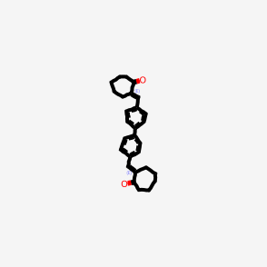 O=C1CCCCC/C1=C\c1ccc(-c2ccc(/C=C3\CCCCCC3=O)cc2)cc1